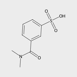 CN(C)C(=O)c1cccc(S(=O)(=O)O)c1